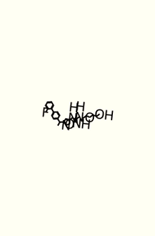 CC(c1ccc(-c2ccccc2F)cc1)c1cc(NC(=N)NCCOCCO)on1